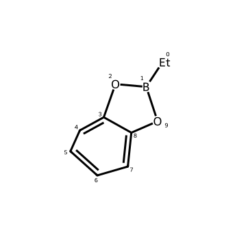 CCB1Oc2ccccc2O1